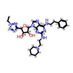 CCn1nnc(C2OC(n3cnc4c(NCCc5ccccc5)nc(NCCN5CCCCC5)nc43)C(O)C2O)n1